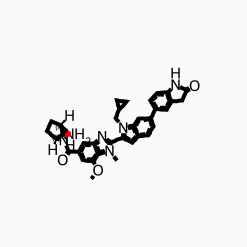 COc1cc(C(=O)N2C[C@H]3CC[C@@H]2[C@@H]3N)cc2nc(-c3cc4ccc(-c5ccc6c(c5)CC(=O)N6)cc4n3CC3CC3)n(C)c12